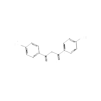 Cc1ccc(C(=S)CC(=S)c2ccc(C)cc2)cc1